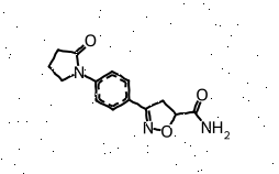 NC(=O)C1CC(c2ccc(N3CCCC3=O)cc2)=NO1